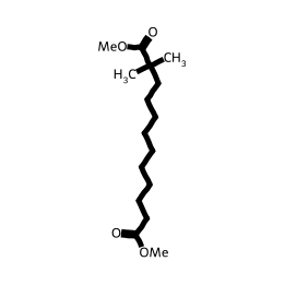 COC(=O)CCCCCCCCCC(C)(C)C(=O)OC